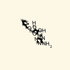 Nc1ncnc2c1ncn2[C@@H]1O[C@H](COCc2cccs2)[C@@H](O)[C@H]1O